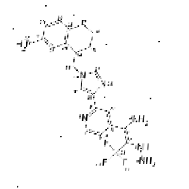 NN/C(=C(\N)c1ccnc(-c2cn(CC3CCCc4ccc(P)cc43)cn2)c1)C(F)(F)F